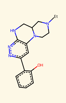 [CH2]CN1CCN2c3cc(-c4ccccc4O)nnc3NCC2C1